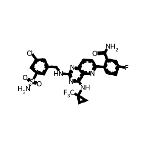 NC(=O)c1cc(F)ccc1-c1ccc2nc(NCc3cc(Cl)cc(S(N)(=O)=O)c3)nc(NC3(C(F)(F)F)CC3)c2n1